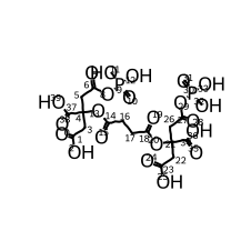 O=C(O)CC(CC(=O)OP(=O)(O)O)(OC(=O)CCC(=O)OC(CC(=O)O)(CC(=O)OP(=O)(O)O)C(=O)O)C(=O)O